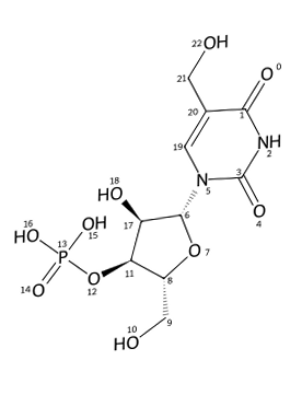 O=c1[nH]c(=O)n([C@@H]2O[C@H](CO)[C@@H](OP(=O)(O)O)[C@H]2O)cc1CO